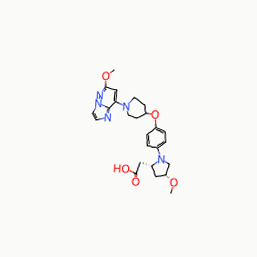 COc1cc(N2CCC(Oc3ccc(N4C[C@H](OC)C[C@@H]4CC(=O)O)cc3)CC2)c2nccn2n1